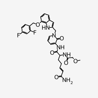 COCC(=O)NC(CC/C=C/C(N)=O)C(=O)Nc1cccn(Cc2cc3cccc(OCc4ccc(F)cc4F)c3[nH]2)c1=O